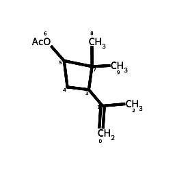 C=C(C)C1CC(OC(C)=O)C1(C)C